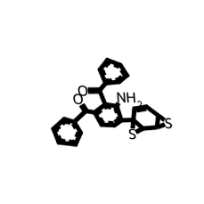 Nc1c(C23C=CC4SC4C2S3)ccc(C(=O)c2ccccc2)c1C(=O)c1ccccc1